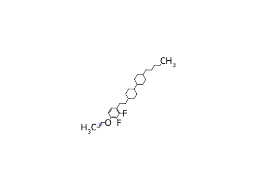 C/C=C/Oc1ccc(CCC2CCC(C3CCC(CCCCC)CC3)CC2)c(F)c1F